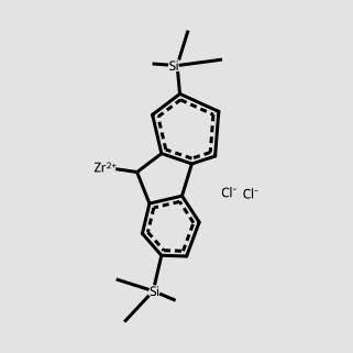 C[Si](C)(C)c1ccc2c(c1)[CH]([Zr+2])c1cc([Si](C)(C)C)ccc1-2.[Cl-].[Cl-]